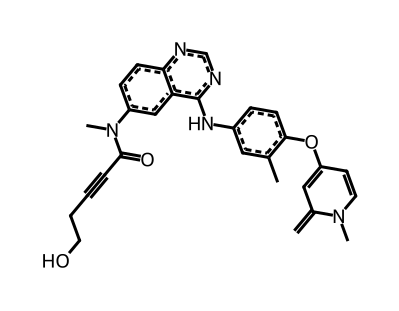 C=C1C=C(Oc2ccc(Nc3ncnc4ccc(N(C)C(=O)C#CCCO)cc34)cc2C)C=CN1C